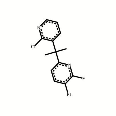 CCc1ccc(C(C)(C)c2cccnc2Cl)nc1F